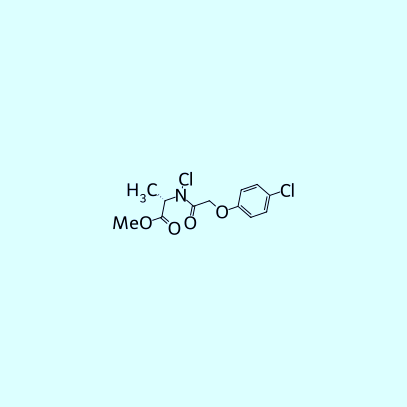 COC(=O)[C@H](C)N(Cl)C(=O)COc1ccc(Cl)cc1